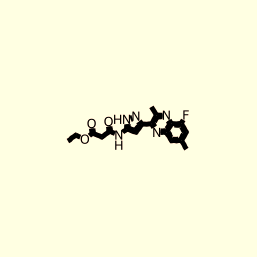 CCOC(=O)CC(=O)Nc1cc(-c2nc3cc(C)cc(F)c3nc2C)n[nH]1